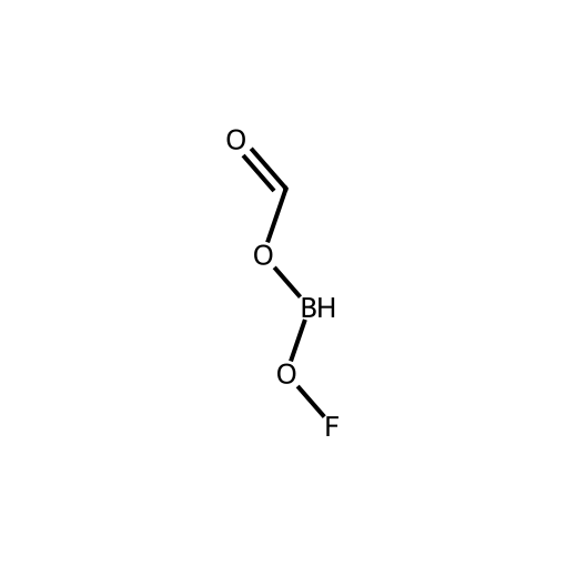 O=COBOF